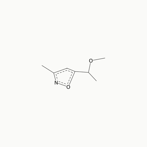 COC(C)c1cc(C)no1